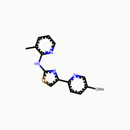 COc1ccc(-c2csc(Nc3ncccc3C)n2)nc1